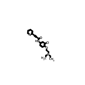 CCN(CC)CCOc1ccc(NC(=O)C#Cc2ccccn2)cc1Cl